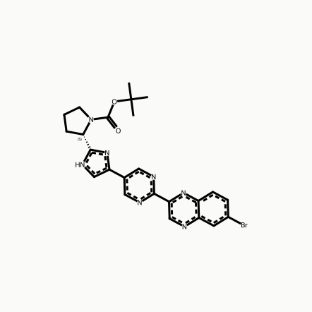 CC(C)(C)OC(=O)N1CCC[C@H]1c1nc(-c2cnc(-c3cnc4cc(Br)ccc4n3)nc2)c[nH]1